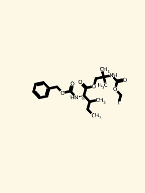 CCC(C)[C@H](NC(=O)OCc1ccccc1)C(=O)OCC(C)(C)NC(=O)OCI